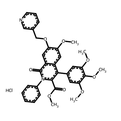 COC(=O)c1c(-c2cc(OC)c(OC)c(OC)c2)c2cc(OC)c(OCc3cccnc3)cc2c(=O)n1-c1ccccc1.Cl